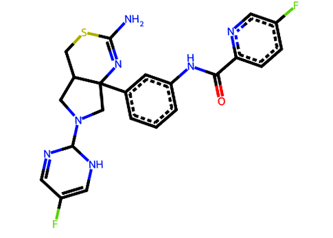 NC1=NC2(c3cccc(NC(=O)c4ccc(F)cn4)c3)CN(C3N=CC(F)=CN3)CC2CS1